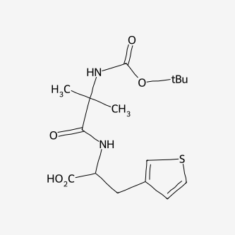 CC(C)(C)OC(=O)NC(C)(C)C(=O)NC(Cc1ccsc1)C(=O)O